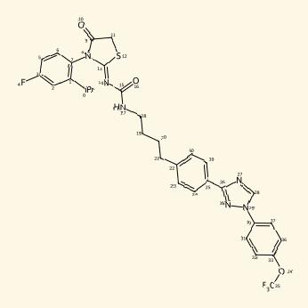 CC(C)c1cc(F)ccc1N1C(=O)CS/C1=N\C(=O)NCCCCc1ccc(-c2ncn(-c3ccc(OC(F)(F)F)cc3)n2)cc1